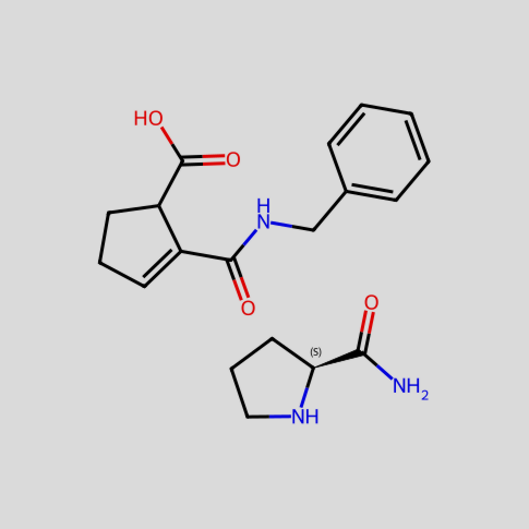 NC(=O)[C@@H]1CCCN1.O=C(NCc1ccccc1)C1=CCCC1C(=O)O